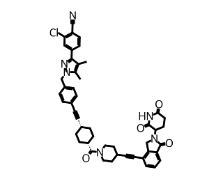 Cc1c(-c2ccc(C#N)c(Cl)c2)nn(Cc2ccc(C#C[C@H]3CC[C@@H](C(=O)N4CCC(C#Cc5cccc6c5CN(C5CCC(=O)NC5=O)C6=O)CC4)CC3)cc2)c1C